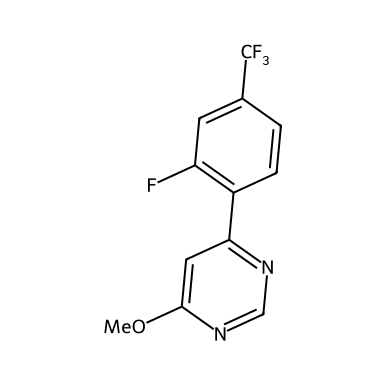 COc1cc(-c2ccc(C(F)(F)F)cc2F)ncn1